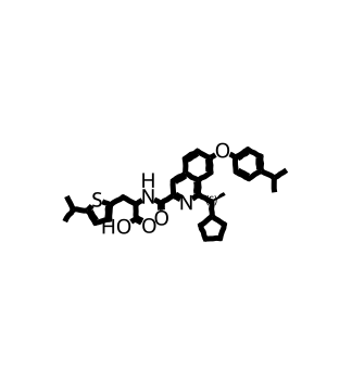 CC(C)c1ccc(Oc2ccc3cc(C(=O)NC(Cc4ccc(C(C)C)s4)C(=O)O)nc([C@@H](C)C4CCCC4)c3c2)cc1